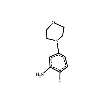 Nc1cc(N2CCOCC2)ccc1F